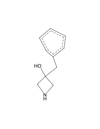 OC1(Cc2ccccc2)CNC1